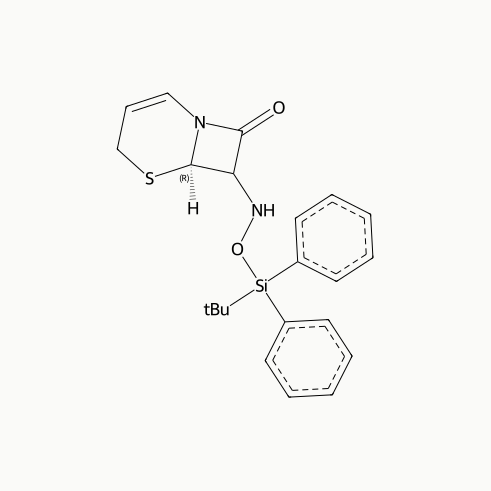 CC(C)(C)[Si](ONC1C(=O)N2C=CCS[C@H]12)(c1ccccc1)c1ccccc1